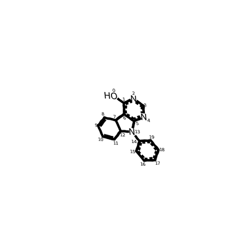 Oc1ncnc2c1C1C=CC=CC1N2c1ccccc1